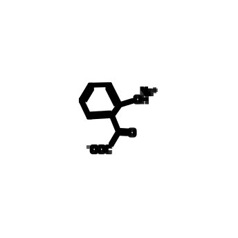 O=C([O-])C(=O)c1ccccc1O.[Na+]